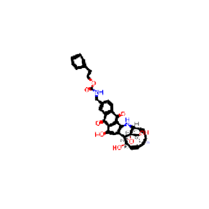 C[C@@H](O)[C@@]12O[C@]13c1cc(O)c4c(c1N[C@H]2C#C/C=C\C#C[C@H]3O)C(=O)c1ccc(CNC(=O)OCCc2ccccc2)cc1C4=O